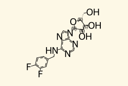 OC[C@H]1O[C@@H](n2cnc3c(NCc4ccc(F)c(F)c4)ncnc32)[C@H](O)[C@@H]1O